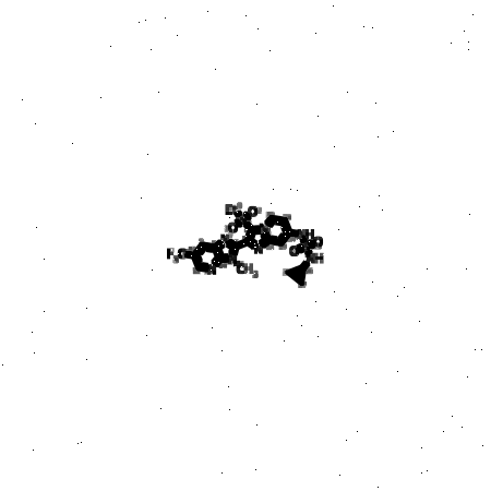 CCS(=O)(=O)c1c(-c2nc3cc(C(F)(F)F)cnc3n2C)nc2cc(NS(=O)(=O)NC3CC3)ccn12